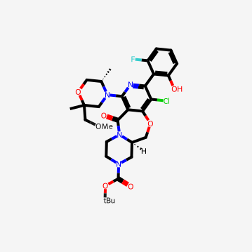 COCC1(C)CN(c2nc(-c3c(O)cccc3F)c(Cl)c3c2C(=O)N2CCN(C(=O)OC(C)(C)C)C[C@@H]2CO3)[C@@H](C)CO1